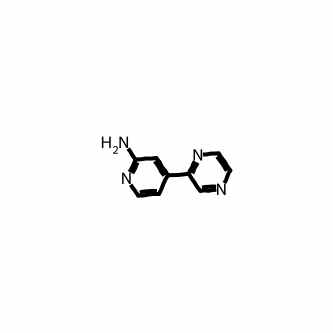 Nc1cc(-c2cnccn2)ccn1